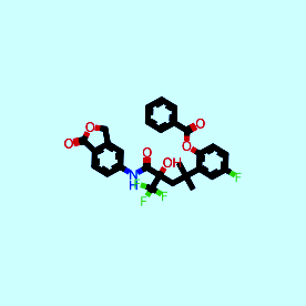 CC(C)(CC(O)(C(=O)Nc1ccc2c(c1)COC2=O)C(F)(F)F)c1cc(F)ccc1OC(=O)c1ccccc1